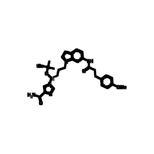 COc1ccc(CCC(=O)Nc2ccc3ccn(CCC[C@@H](O[Si](C)(C)C(C)(C)C)n4cnc(C(N)=O)c4)c3c2)cc1